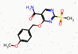 COc1ccc(COc2nc(S(C)(=O)=O)ncc2C(N)=O)cc1